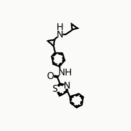 O=C(Nc1ccc(C2CC2NCC2CC2)cc1)c1nc(-c2ccccc2)cs1